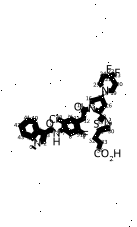 Cn1cc(C(=O)Nc2cc(F)c(CC(=O)N3C[C@@H](N4CCC(F)(F)CC4)C[C@H]3c3ncc(CCC(=O)O)s3)cc2Cl)c2ccccc21